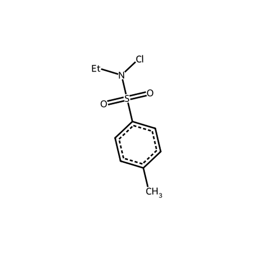 CCN(Cl)S(=O)(=O)c1ccc(C)cc1